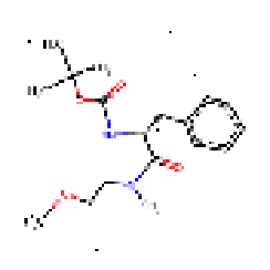 COCCN(C)C(=O)[C@H](Cc1ccccc1)NC(=O)OC(C)(C)C